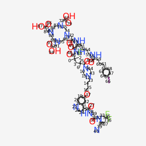 CC(C)(CC(C)(C)C(=O)N1CCN(CCCCOc2ccc3nccc(C(=O)NCC(=O)N4CC(F)(F)C[C@@H]4C#N)c3c2)CC1)C(=O)NC(=O)[C@H](CC(F)CCNC(=O)CCCc1ccc(I)cc1)NC(=O)CN1CCN(CC(=O)O)CCN(CC(=O)O)CCN(CC(=O)O)CC1